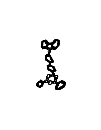 c1ccc(B2OB(c3ccccc3)OB(c3ccc(-c4ccc(-n5c6ccccc6c6ccccc65)cc4)cc3)O2)cc1